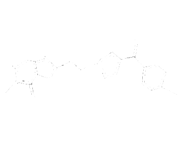 Cn1ncc2nc(SCc3ccc(C(=O)c4ccc(F)cc4)cc3)sc2c1=O